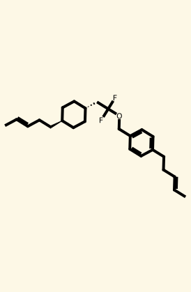 C/C=C/CCc1ccc(COC(F)(F)C[C@H]2CC[C@H](CC/C=C/C)CC2)cc1